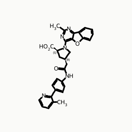 Cc1nc(N2C[C@@H](CC(=O)Nc3ccc(-c4ncccc4C)cc3)C[C@H]2C(=O)O)c2oc3ccccc3c2n1